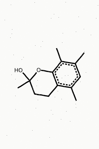 Cc1cc(C)c2c(c1C)OC(C)(O)CC2